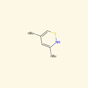 CCCCC1=CSNC(CCCC)=C1